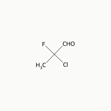 CC(F)(Cl)C=O